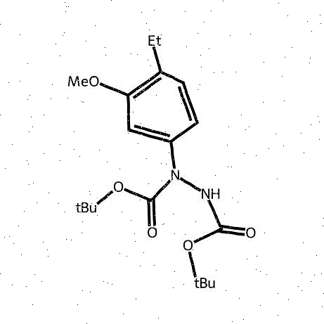 CCc1ccc(N(NC(=O)OC(C)(C)C)C(=O)OC(C)(C)C)cc1OC